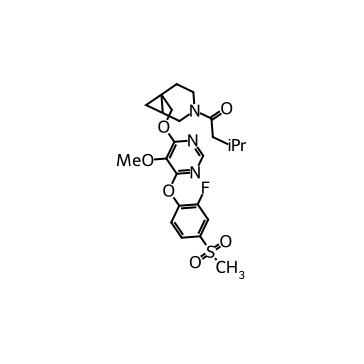 COc1c(OCC23CCN(C(=O)CC(C)C)CC2C3)ncnc1Oc1ccc(S(C)(=O)=O)cc1F